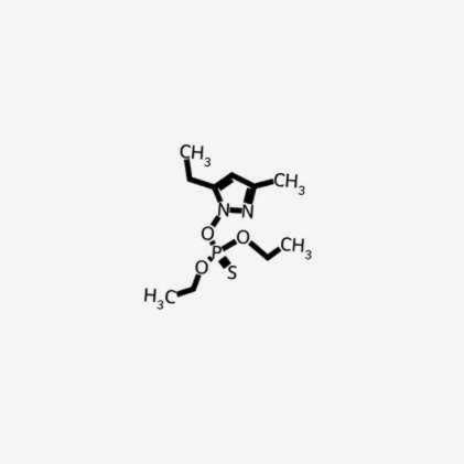 CCOP(=S)(OCC)On1nc(C)cc1CC